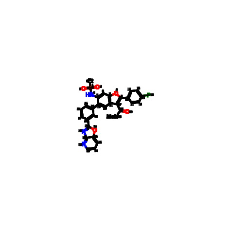 CCS(=O)(=O)Nc1cc2oc(-c3ccc(F)cc3)c(C(=O)NC)c2cc1-c1cccc(-c2nc3ncccc3o2)c1